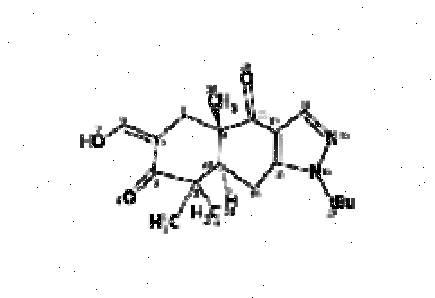 CC1(C)C(=O)/C(=C\O)C[C@]2(C)C(=O)c3cnn(C(C)(C)C)c3C[C@@H]12